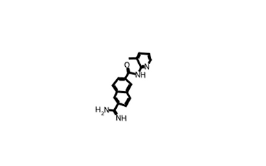 Cc1cccnc1NC(=O)c1ccc2cc(C(=N)N)ccc2c1